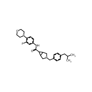 CC(C)Cc1ccc(CN2CC3C(C2)C3C(=O)Nc2ccc(N3CCOCC3)c(F)c2)cc1